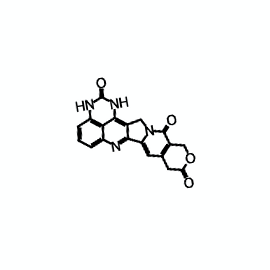 O=C1Nc2cccc3nc4c(c(c23)N1)Cn1c-4cc2c(c1=O)COC(=O)C2